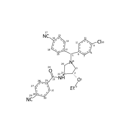 CCO[C@H]1CN(C(c2ccc(Cl)cc2)c2ccc(C#N)cc2)C[C@@H]1NC(=O)c1ccc(C#N)cc1